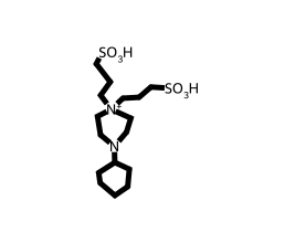 O=S(=O)(O)CCC[N+]1(CCCS(=O)(=O)O)CCN(C2CCCCC2)CC1